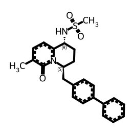 Cc1ccc2n(c1=O)[C@H](Cc1ccc(-c3ccccc3)cc1)CC[C@H]2NS(C)(=O)=O